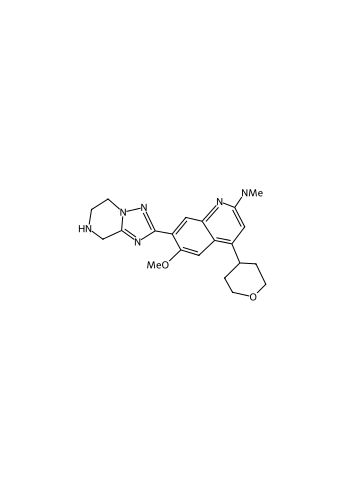 CNc1cc(C2CCOCC2)c2cc(OC)c(-c3nc4n(n3)CCNC4)cc2n1